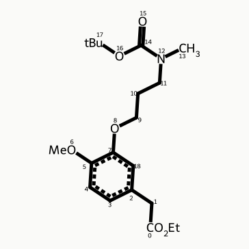 CCOC(=O)Cc1ccc(OC)c(OCCCN(C)C(=O)OC(C)(C)C)c1